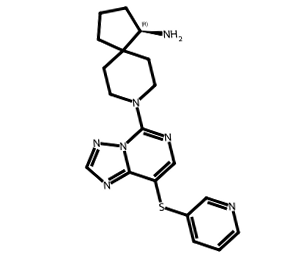 N[C@@H]1CCCC12CCN(c1ncc(Sc3cccnc3)c3ncnn13)CC2